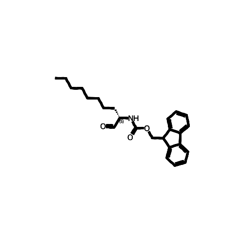 CCCCCCCC[C@@H](C=O)NC(=O)OCC1c2ccccc2-c2ccccc21